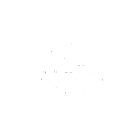 COc1c(C=CC(=O)O)c(O[Si](C)(C)C)c(O[Si](C)(C)C)c(OC)c1OC